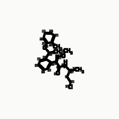 CO/N=C(\C(=O)NN(C)CCCl)c1ccccc1C(C)Oc1ccccc1C